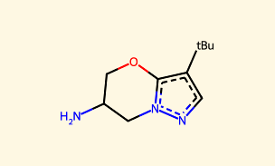 CC(C)(C)c1cnn2c1OCC(N)C2